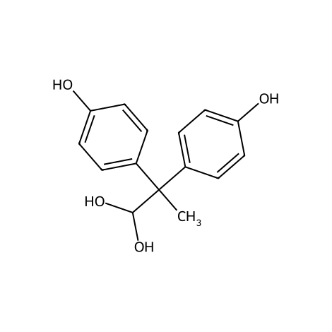 CC(c1ccc(O)cc1)(c1ccc(O)cc1)C(O)O